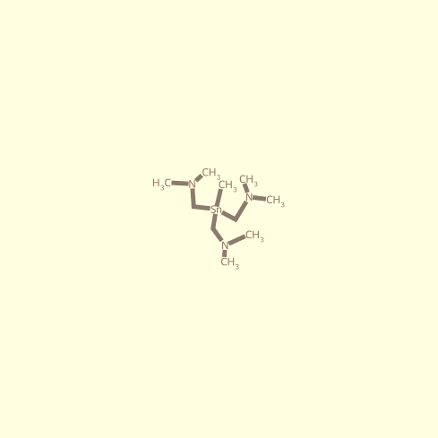 CN(C)[CH2][Sn]([CH3])([CH2]N(C)C)[CH2]N(C)C